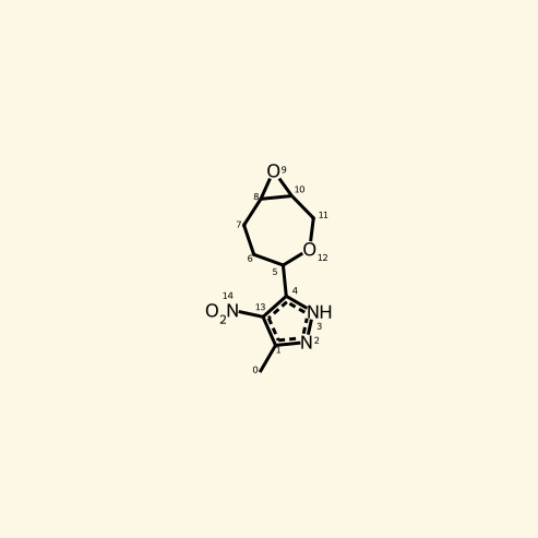 Cc1n[nH]c(C2CCC3OC3CO2)c1[N+](=O)[O-]